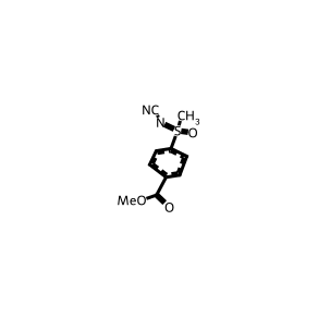 COC(=O)c1ccc(S(C)(=O)=NC#N)cc1